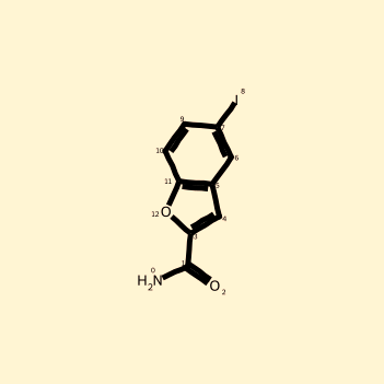 NC(=O)c1cc2cc(I)ccc2o1